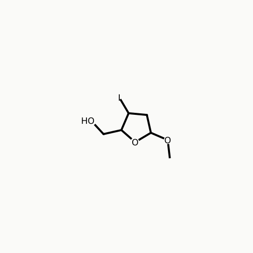 COC1CC(I)C(CO)O1